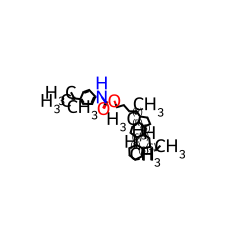 CC[C@H]1C[C@@H]2[C@H](CC[C@]3(C)C([C@H](C)CCCOC(=O)Nc4ccc(C(C)(C)C)cc4)CC[C@@H]23)[C@@]2(C)CCCC[C@@H]12